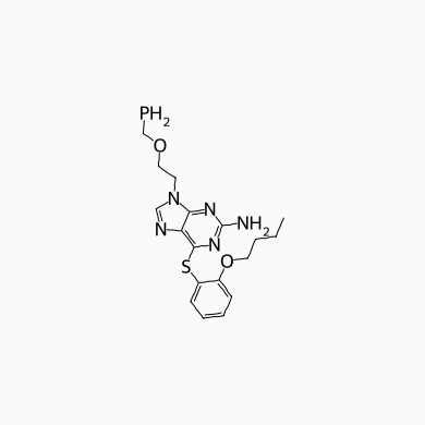 CCCCOc1ccccc1Sc1nc(N)nc2c1ncn2CCOCP